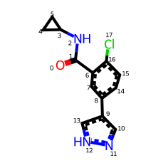 O=C(NC1CC1)c1cc(-c2cn[nH]c2)ccc1Cl